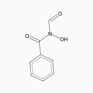 O=CN(O)C(=O)c1ccccc1